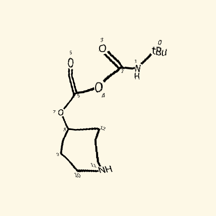 CC(C)(C)NC(=O)OC(=O)OC1CCNC1